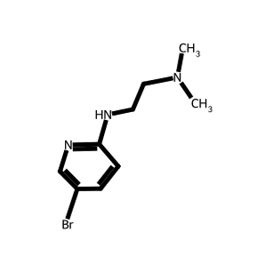 CN(C)CCNc1ccc(Br)cn1